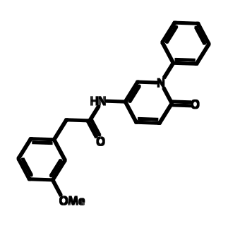 COc1cccc(CC(=O)Nc2ccc(=O)n(-c3ccccc3)c2)c1